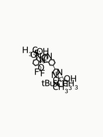 CC(C)(C)[Si](C)(C)O[C@]1(c2ncc(-c3ccc4c(c3)=C[N@@+]35C[C@@H](N=4)C3N(S(C)(=O)=O)c3cccc(OC(F)F)c35)cn2)C[C@@](C)(O)C1